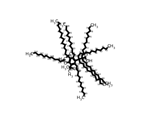 CCCCCCCCCCCCCC(C)(C)c1c(CCCCCCCCCCCC)c(C(CCCCCCCCCCCC)(CCCCCCCCCCCC)C(CCCCCCCCCCCC)(CCCCCCCCCCCC)C(=O)O)c(CCCCCCCCCCCC)c(C(C)(C)C)c1OCCCCCCCCCCCC